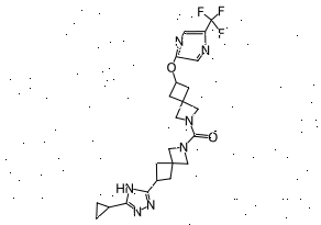 O=C(N1CC2(CC(Oc3cnc(C(F)(F)F)cn3)C2)C1)N1CC2(CC(c3nnc(C4CC4)[nH]3)C2)C1